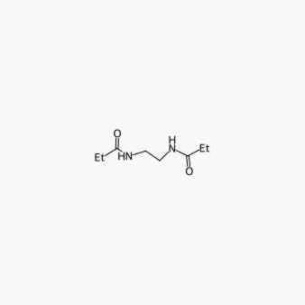 CCC(=O)NCCNC(=O)CC